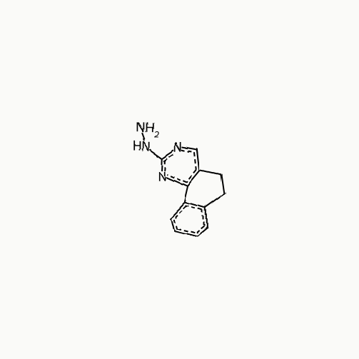 NNc1ncc2c(n1)-c1ccccc1CC2